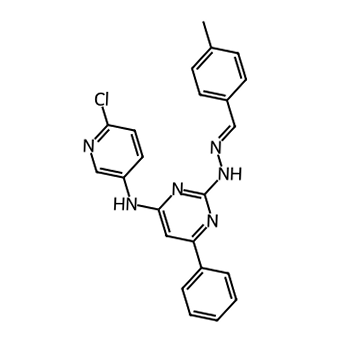 Cc1ccc(C=NNc2nc(Nc3ccc(Cl)nc3)cc(-c3ccccc3)n2)cc1